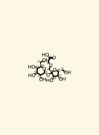 O=C(O)COC[C@@]1(O[C@H]2O[C@H](CO)[C@@H](O)[C@H](O)[C@H]2O)O[C@H](CO)[C@@H](O)[C@@H]1O